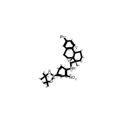 CC(C)c1ccc2c(c1)CC[C@H]1[C@@](C)(CNc3ccc(B4OC(C)(C)C(C)(C)O4)cc3[N+](=O)[O-])CCC[C@]21C